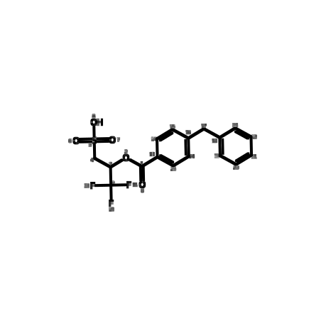 O=C(OC(CS(=O)(=O)O)C(F)(F)F)c1ccc(Cc2ccccc2)cc1